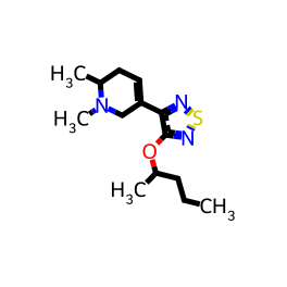 CCCC(C)Oc1nsnc1C1=CCC(C)N(C)C1